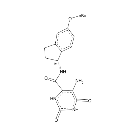 CCCCOc1ccc2c(c1)CC[C@H]2NC(=O)c1[nH]c(=O)[nH]c(=O)c1N